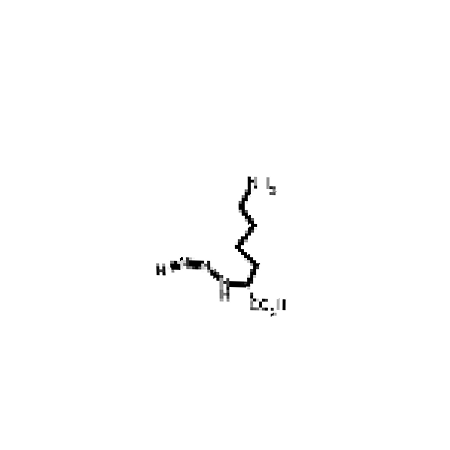 [N-]=[N+]=NN[C@H](CCCCN)C(=O)O